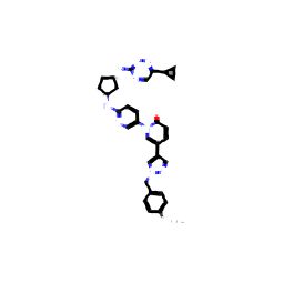 COc1ccc(Cn2cc(-c3ccc(=O)n(-c4ccc(N[C@H]5CC[C@H](Nc6ncc(C7CC7)nn6)C5)nc4)c3)cn2)cc1